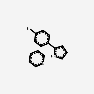 Brc1ccc(-c2ccc[nH]2)cc1.c1ccncc1